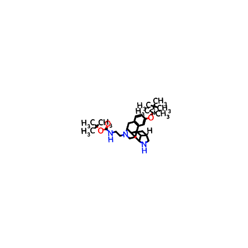 CC(C)(C)OC(=O)NCCN1CCC23c4cc(O[Si](C)(C)C(C)(C)C)ccc4CC1C21CCC2NC[C@@H](C1)C23